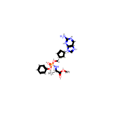 CC(C)OC(=O)[C@H](C)N[P@@](=O)(OC[C@@H]1C=C[C@H](n2cnc3cnc(N)nc32)C1)Oc1ccccc1